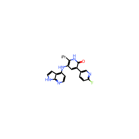 CC(C)c1[nH]c(=O)c(-c2ccc(F)nc2)cc1Nc1ccnc2[nH]ccc12